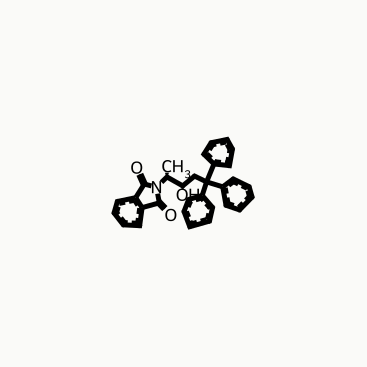 C[C@@H]([C@@H](O)CC(c1ccccc1)(c1ccccc1)c1ccccc1)N1C(=O)c2ccccc2C1=O